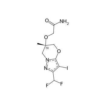 C[C@@]1(OCC(N)=O)COc2c(I)c(C(F)F)nn2C1